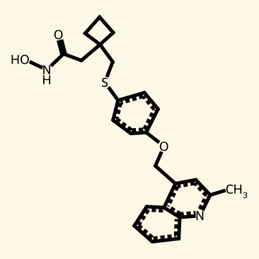 Cc1cc(COc2ccc(SCC3(CC(=O)NO)CCC3)cc2)c2ccccc2n1